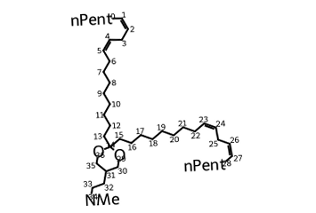 CCCCC/C=C\C/C=C\CCCCCCCCC1(CCCCCCCC/C=C\C/C=C\CCCCC)OCC(CCNC)CO1